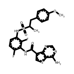 COc1ccc(CC(C)S(=O)(=O)Nc2ccc(F)c(NC(=O)c3csc4c(N)ncnc34)c2F)cc1